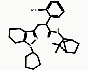 COc1ccccc1C(Cc1nn(C2CCCCC2)c2c1CCCC2)C(=O)NC1C2CCC(C2)C1(C)C